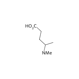 CNC(C)CCC(=O)O